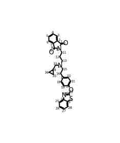 O=C1c2ccccc2C(=O)N1CCCN(CCc1ccc(Oc2nc3ccccc3s2)cc1)CC1CC1